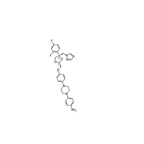 Nc1ccc(N2CCN(c3ccc(OC[C@H]4OC[C@](Cn5cncn5)(c5ccc(F)cc5F)O4)cc3)CC2)cc1